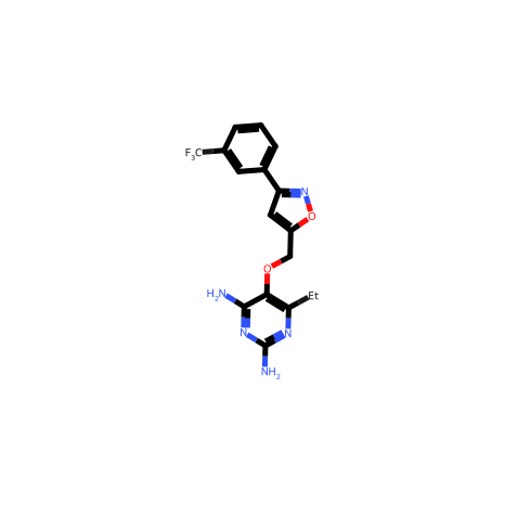 CCc1nc(N)nc(N)c1OCc1cc(-c2cccc(C(F)(F)F)c2)no1